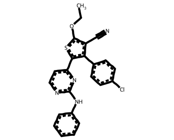 CCOc1sc(-c2ccnc(Nc3ccccc3)n2)c(-c2ccc(Cl)cc2)c1C#N